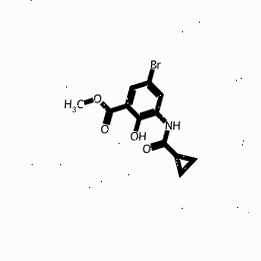 COC(=O)c1cc(Br)cc(NC(=O)C2CC2)c1O